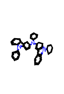 C1=CCC(n2c3c(c4ccccc42)C=C(N(c2ccccc2)c2ccc4c(c2)c2ccccc2n4-c2ccccc2)CC3)C=C1